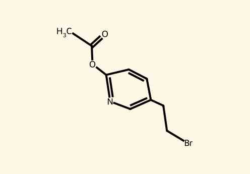 CC(=O)Oc1ccc(CCBr)cn1